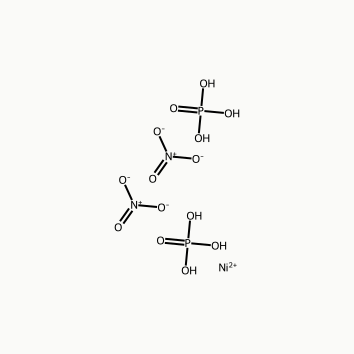 O=P(O)(O)O.O=P(O)(O)O.O=[N+]([O-])[O-].O=[N+]([O-])[O-].[Ni+2]